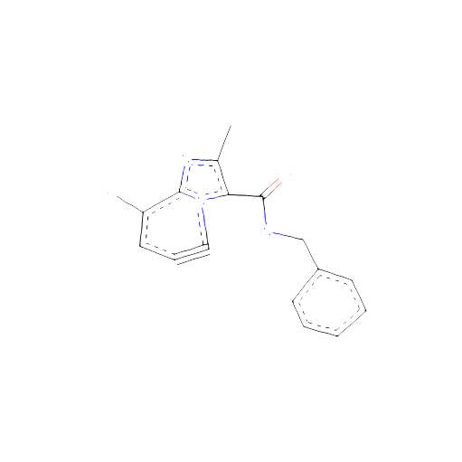 Cc1nc2c(C(F)(F)F)cc#cn2c1C(=O)NCc1ccccc1